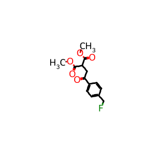 COC(=O)C(CC(=O)c1ccc(CF)cc1)C(=O)OC